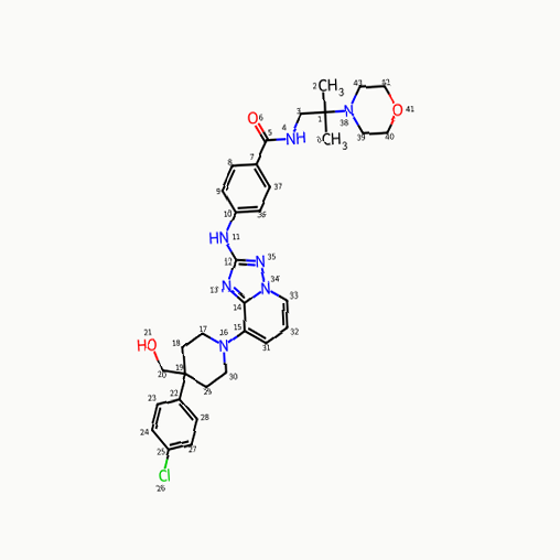 CC(C)(CNC(=O)c1ccc(Nc2nc3c(N4CCC(CO)(c5ccc(Cl)cc5)CC4)cccn3n2)cc1)N1CCOCC1